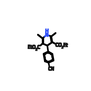 CCOC(=O)C1=C(C)NC(C)=C(C(=O)OCC)C1c1ccc(C#N)cc1